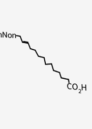 CCCCCCCCCCC=CCCCCCCCCCCC(=O)O